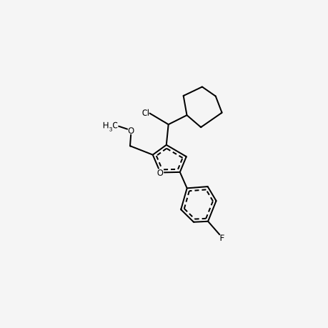 COCc1oc(-c2ccc(F)cc2)cc1C(Cl)C1CCCCC1